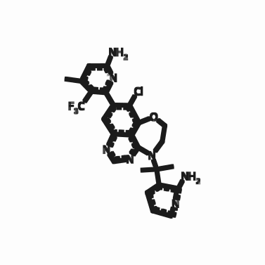 Cc1cc(N)nc(-c2cc3ncnc4c3c(c2Cl)OCCN4C(C)(C)c2cccnc2N)c1C(F)(F)F